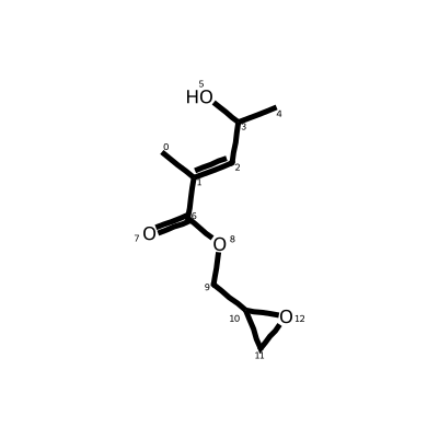 CC(=CC(C)O)C(=O)OCC1CO1